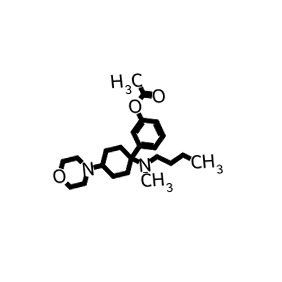 CCCCN(C)C1(c2cccc(OC(C)=O)c2)CCC(N2CCOCC2)CC1